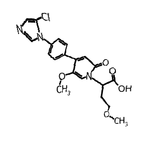 COCCC(C(=O)O)n1cc(OC)c(-c2ccc(-n3cncc3Cl)cc2)cc1=O